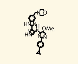 COc1cnc(-c2ccc(C3CC3)cc2)nc1Nc1c[nH]nc1-c1nc2cc(CN3CCOCC3)ccc2[nH]1